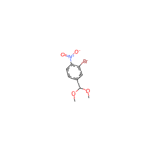 COC(OC)c1ccc([N+](=O)[O-])c(Br)c1